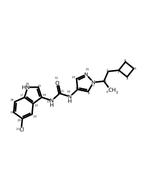 CC(CC1CCC1)n1cc(NC(=O)Nc2c[nH]c3ccc(Cl)cc23)cn1